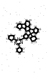 c1ccc(-c2nc(-c3ccccc3)nc(-c3ccc(C4(c5ccccc5)c5ccccc5-c5c4cc4c6c(cccc56)-c5ccccc5-4)cc3)n2)cc1